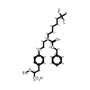 CCOC(Cc1ccc(OCCN(CCCCCC(C)(F)F)C(=O)OCc2ccccc2)cc1)C(=O)O